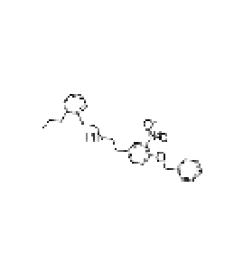 CCCc1ccccc1CCNCCc1ccc(OCc2ccccc2)c([N+](=O)[O-])c1